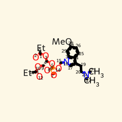 CCC(=O)OCOP(=O)(OCOC(=O)CC)OCn1cc(CCN(C)C)c2ccc(OC)cc21